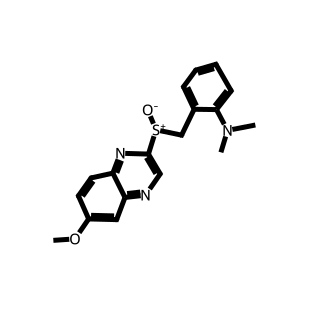 COc1ccc2nc([S+]([O-])Cc3ccccc3N(C)C)cnc2c1